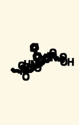 CCCCN1C(=O)c2ccc(NC(=O)N(CC3=CCC(C)(C(=O)NCCC(=O)O)C=C3)C3CCC(C4CCCCC4)CC3)cc2C1=O